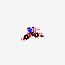 CCNCC.CCOc1ccc(CC(C)(C(=O)NO)S(=O)(=O)c2ccc(OC)cc2)cc1